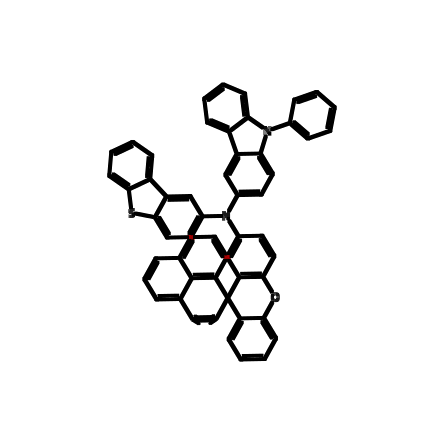 c1ccc(-n2c3ccccc3c3cc(N(c4ccc5c(c4)C4(c6ccccc6O5)c5ccccc5-c5cccc6cccc4c56)c4ccc5sc6ccccc6c5c4)ccc32)cc1